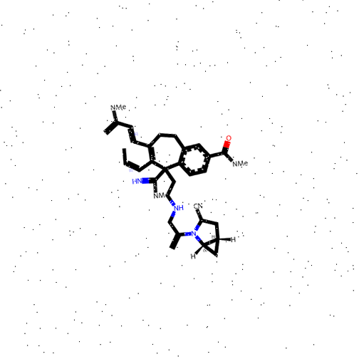 C=C(/C=C/C1=C(/C=C\C)C(CCNCC(=C)N2C(C#N)C[C@@H]3C[C@@H]32)(C(=N)NC)c2ccc(C(=O)NC)cc2CC1)NC